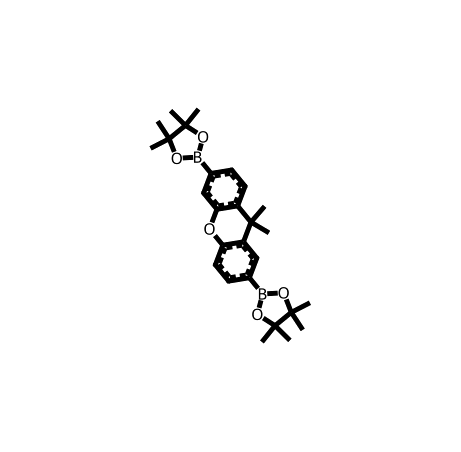 CC1(C)c2ccc(B3OC(C)(C)C(C)(C)O3)cc2Oc2ccc(B3OC(C)(C)C(C)(C)O3)cc21